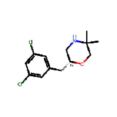 CC1(C)CO[C@H](Cc2cc(Cl)cc(Cl)c2)CN1